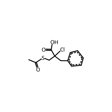 CC(=O)SCC(Cl)(Cc1ccccc1)C(=O)O